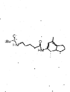 CC1=C2CCCC2[C@H](C)C(NC(=O)CCCCN[S+]([O-])C(C)(C)C)=C1